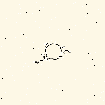 C=C/C=C\[C@H](C)[C@@H]1OC(=O)/C=C\C=C\[C@@H](C)[C@@H](OC(=O)CCC(=O)O)C[C@H](O)/C=C\[C@H](C)[C@H](O)[C@@H](C)C[C@@H](C)CC[C@@H](O)[C@@H]1C